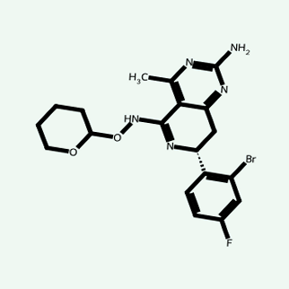 Cc1nc(N)nc2c1C(NOC1CCCCO1)=N[C@@H](c1ccc(F)cc1Br)C2